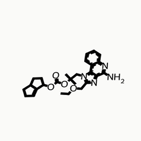 CCOCc1nc2c(N)nc3ccccc3c2n1CC(C)(C)OC(=O)OC1CCC2CCC=C21